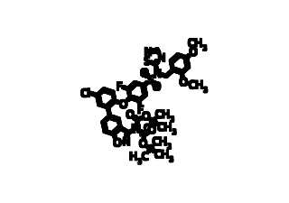 COc1ccc(CN(c2ncns2)S(=O)(=O)c2cc(F)c(Oc3ccc(Cl)cc3-c3ccc4onc(N(C(=O)OC(C)(C)C)C(=O)OC(C)(C)C)c4c3)c(F)c2)c(OC)c1